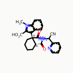 Cn1c(C(=O)O)c([C@]2(C(N)=O)CCCC[C@H]2C(=O)NC(C#N)c2ccccn2)c2ccccc21